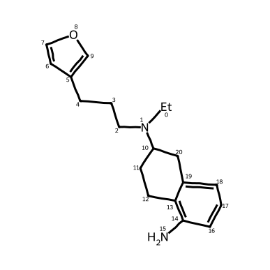 CCN(CCCc1ccoc1)C1CCc2c(N)cccc2C1